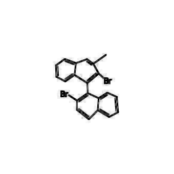 Cc1cc2ccccc2c(-c2c(Br)ccc3ccccc23)c1Br